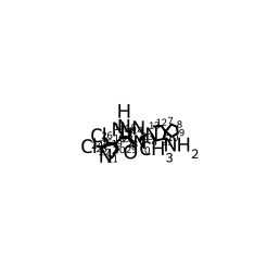 Cn1c(N2CCC3(CCCC3N)CC2)nc2[nH]nc(-c3ccnc(Cl)c3Cl)c2c1=O